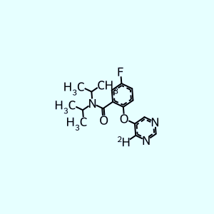 [2H]c1ncncc1Oc1ccc(F)cc1C(=O)N(C(C)C)C(C)C